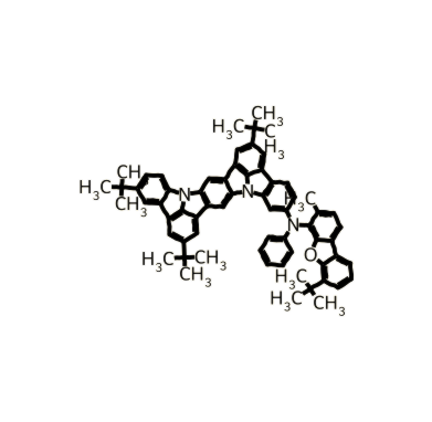 Cc1ccc2c(oc3c(C(C)(C)C)cccc32)c1N(c1ccccc1)c1ccc2c3cc(C(C)(C)C)cc4c5cc6c(cc5n(c2c1)c34)c1cc(C(C)(C)C)cc2c3cc(C(C)(C)C)ccc3n6c21